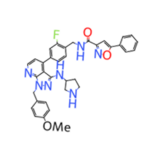 COc1ccc(Cn2nc(NC3CCNC3)c3c(-c4ccc(CNC(=O)c5cc(-c6ccccc6)on5)c(F)c4)ccnc32)cc1